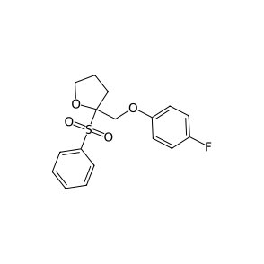 O=S(=O)(c1ccccc1)C1(COc2ccc(F)cc2)CCCO1